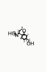 OCc1ccc2c(c1)OCCC2=NO